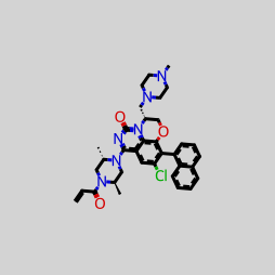 C=CC(=O)N1C[C@H](C)N(c2nc(=O)n3c4c(c(-c5cccc6ccccc56)c(Cl)cc24)OC[C@H]3CN2CCN(C)CC2)C[C@H]1C